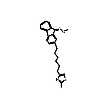 CO/N=C1/c2ccccc2-c2ccc(CCCCCCc3csc(C)n3)cc21